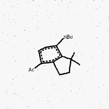 CCCCc1ccc(C(C)=O)c2c1C(C)(C)CC2